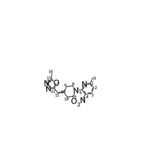 Cc1ccc([N+](=O)[O-])c(N2CCC(=Cc3nnc(C)o3)CC2)n1